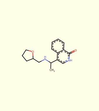 CC(NCC1CCCO1)c1c[nH]c(=O)c2ccccc12